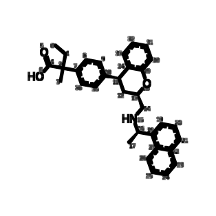 CCC(C)(C(=O)O)c1ccc([C@@H]2C[C@H](CN[C@H](C)c3cccc4ccccc34)Oc3ccccc32)cc1